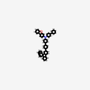 c1ccc(-c2ccc(N(c3ccc(-c4ccc(-c5ccc6c(c5)C5(c7ccccc7-6)C6CC7CC(C6)CC5C7)cc4)cc3)c3ccc4c(c3)oc3ccccc34)cc2)cc1